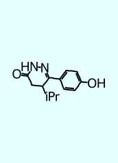 CC(C)C1CC(=O)NN=C1c1ccc(O)cc1